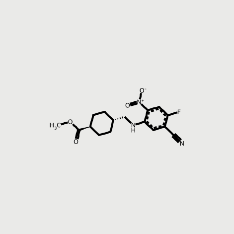 COC(=O)[C@H]1CC[C@H](CNc2cc(C#N)c(F)cc2[N+](=O)[O-])CC1